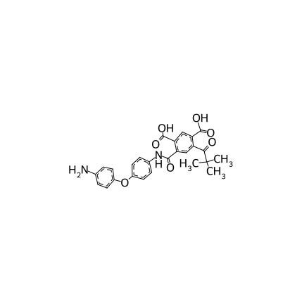 CC(C)(C)C(=O)c1cc(C(=O)Nc2ccc(Oc3ccc(N)cc3)cc2)c(C(=O)O)cc1C(=O)O